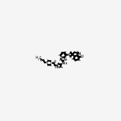 COCCN1CCN(C(=O)CN2C=C(Nc3nc4c(N5CC(CC#N)(c6cccc(Cl)c6)C5)cccn4n3)CN2)CC1